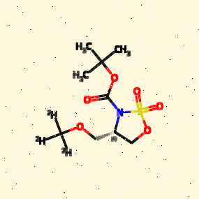 [2H]C([2H])([2H])OC[C@H]1COS(=O)(=O)N1C(=O)OC(C)(C)C